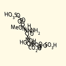 COc1cc(S(=O)(=O)CCOS(=O)(=O)O)c(C)cc1N=Nc1ccc(N=Nc2c(O)cc(C(=O)O)c(N=Nc3ccc(S(=O)(=O)CCOS(=O)(=O)O)cc3)c2O)cc1NC(N)=O